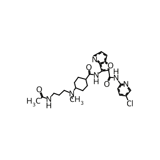 CC(=O)NCCCN(C)C1CCC(C(=O)Nc2c(C(=O)Nc3ccc(Cl)cn3)oc3cccnc23)CC1